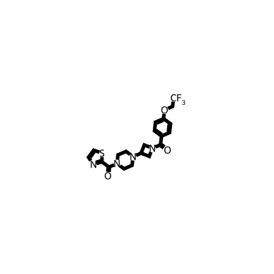 O=C(c1ccc(OCC(F)(F)F)cc1)N1CC(N2CCN(C(=O)c3nccs3)CC2)C1